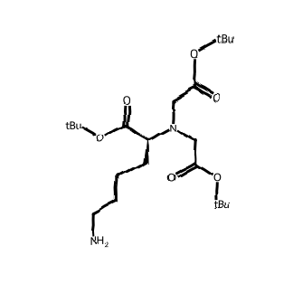 CC(C)(C)OC(=O)CN(CC(=O)OC(C)(C)C)[C@@H](CCCCN)C(=O)OC(C)(C)C